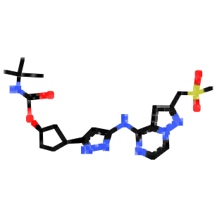 CC(C)(C)NC(=O)O[C@@H]1CC[C@H](c2cc(Nc3nccn4nc(CS(C)(=O)=O)cc34)n[nH]2)C1